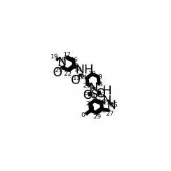 Cc1cc(S(=O)(=O)N2CCC[C@@H](C(=O)Nc3ccn(C)c(=O)c3)C2)c2[nH]ncc2c1